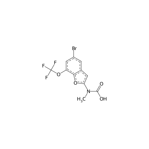 CN(C(=O)O)c1cc2cc(Br)cc(OC(F)(F)F)c2o1